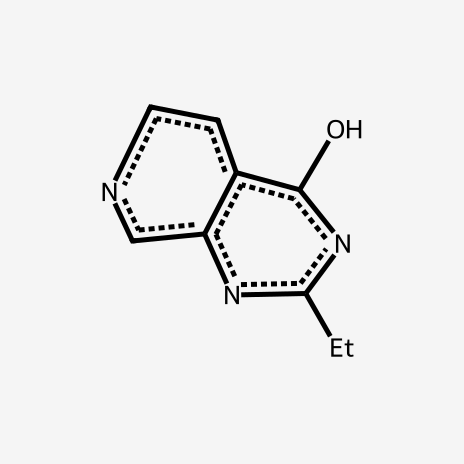 CCc1nc(O)c2ccncc2n1